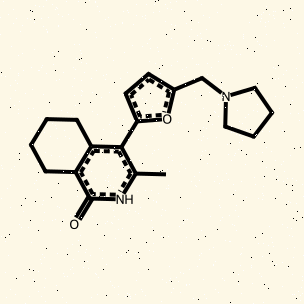 Cc1[nH]c(=O)c2c(c1-c1ccc(CN3CCCC3)o1)CCCC2